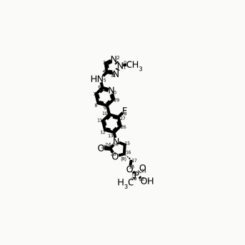 Cn1ncc(Nc2ccc(-c3ccc(N4C[C@H](COP(C)(=O)O)OC4=O)cc3F)cn2)n1